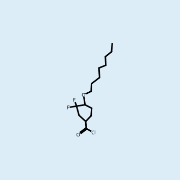 CCCCCCCCOC1CCC(C(=O)Cl)CC1(F)F